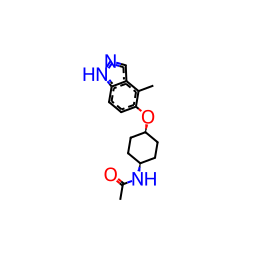 CC(=O)N[C@H]1CC[C@@H](Oc2ccc3[nH]ncc3c2C)CC1